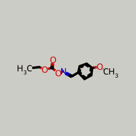 CCOC(=O)ON=Cc1ccc(OC)cc1